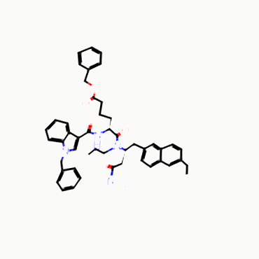 CCCN(C(=O)[C@H](CCCC(=O)OCc1ccccc1)NC(=O)c1cn(Cc2ccccc2)c2ccccc12)[C@H](CC(N)=O)Cc1ccc2cc(CC)ccc2c1